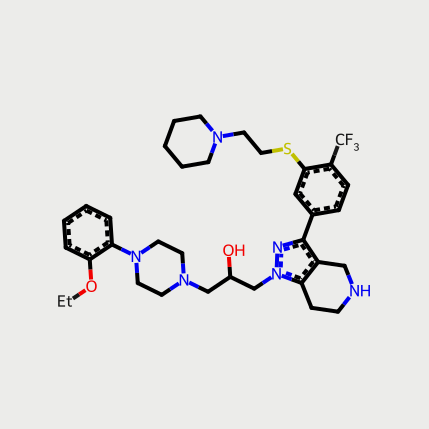 CCOc1ccccc1N1CCN(CC(O)Cn2nc(-c3ccc(C(F)(F)F)c(SCCN4CCCCC4)c3)c3c2CCNC3)CC1